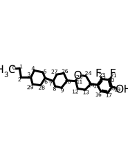 CCCC1CCC(C2CCC(C3CCC(c4ccc(O)c(F)c4F)CO3)CC2)CC1